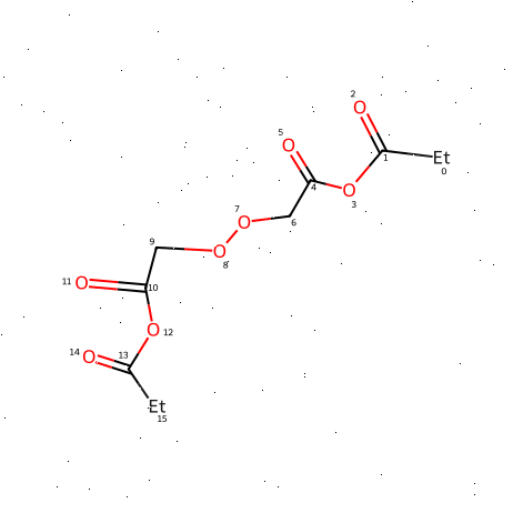 CCC(=O)OC(=O)COOCC(=O)OC(=O)CC